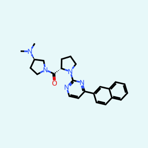 CN(C)[C@@H]1CCN(C(=O)[C@@H]2CCCN2c2nccc(-c3ccc4ccccc4c3)n2)C1